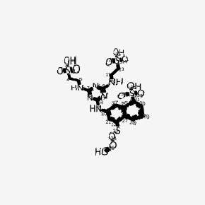 O=S(=O)(O)CCNc1nc(NCCS(=O)(=O)O)nc(Nc2cc(SOOO)c3cccc(S(=O)(=O)O)c3c2)n1